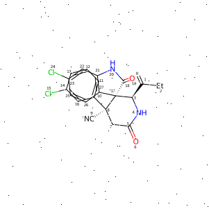 C=C(CC)[C@H]1NC(=O)C[C@@](C#N)(c2cccc(Cl)c2)[C@]12C(=O)Nc1cc(Cl)ccc12